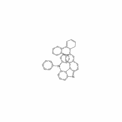 C1=CCc2c(c3ccccc3c3cc4c5c(ccc4cc23)=Nc2cccc(N(c3ccccc3)c3ccccc3)c2-5)=C1